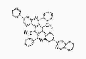 Cc1c2c(-c3ccccc3)nc3cc(-c4cc5ccccc5cn4)ccc3c2c(C)c2c(-c3ccccc3)nc3cc(-c4ccccc4)ccc3c12